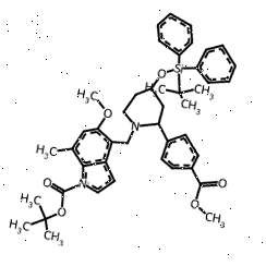 COC(=O)c1ccc(C2CC(O[Si](c3ccccc3)(c3ccccc3)C(C)(C)C)CCN2Cc2c(OC)cc(C)c3c2ccn3C(=O)OC(C)(C)C)cc1